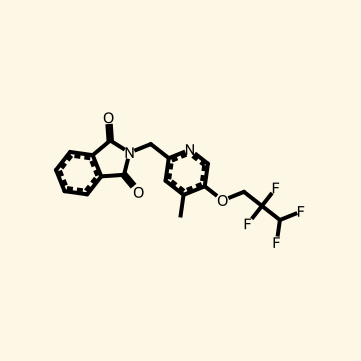 Cc1cc(CN2C(=O)c3ccccc3C2=O)ncc1OCC(F)(F)C(F)F